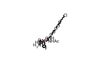 CC(=O)N[C@@H](CSc1nc2c(=O)[nH]c(N)nc2n1Cc1cccc(F)c1)C(=O)NCCOCCOCCOCCOCCOCCCCCCCl